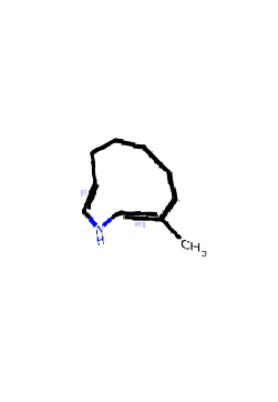 C/C1=C\N/C=C/CCCCC1